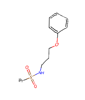 CC(C)S(=O)(=O)NCCCOc1cc[c]cc1